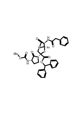 CC(C)(C)OC(=O)N[C@H]1CCN([C@]2(C(=O)OC(c3ccccc3)c3ccccc3)CN3C(=O)[C@@H](NC(=O)Cc4ccccc4)[C@H]3S2)C1=O